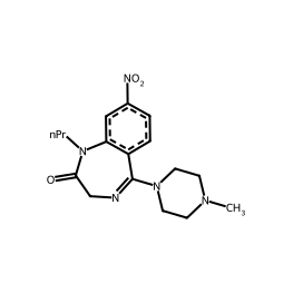 CCCN1C(=O)CN=C(N2CCN(C)CC2)c2ccc([N+](=O)[O-])cc21